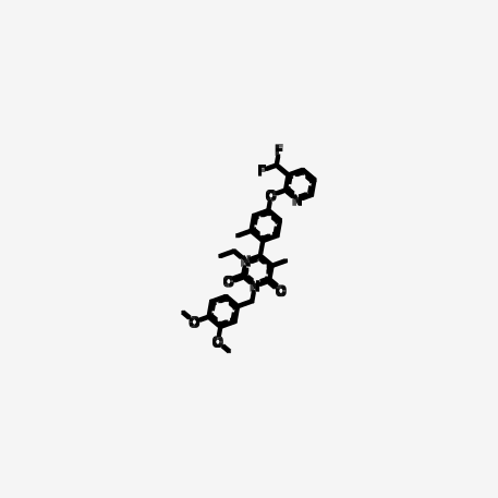 CCn1c(-c2ccc(Oc3ncccc3C(F)F)cc2C)c(C)c(=O)n(Cc2ccc(OC)c(OC)c2)c1=O